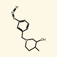 CC1CCN(Cc2cccc(N=[N+]=[N-])c2)CC1O